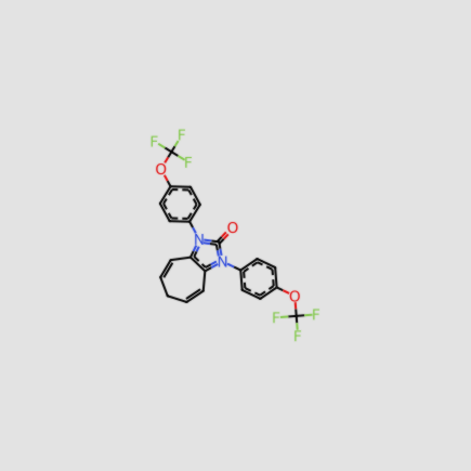 O=c1n(-c2ccc(OC(F)(F)F)cc2)c2c(n1-c1ccc(OC(F)(F)F)cc1)C=CCC=C2